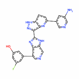 Nc1cncc(-c2ccc3[nH]nc(-c4nc5c(-c6cc(O)cc(F)c6)cncc5[nH]4)c3n2)c1